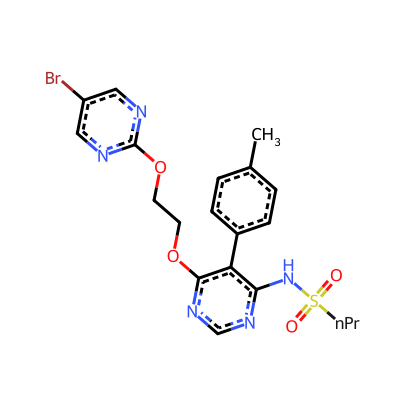 CCCS(=O)(=O)Nc1ncnc(OCCOc2ncc(Br)cn2)c1-c1ccc(C)cc1